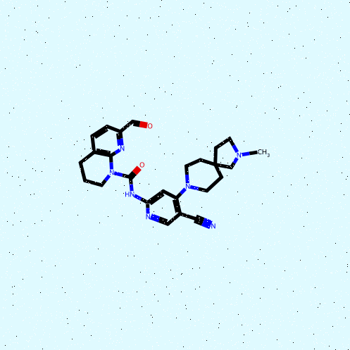 CN1CCC2(CCN(c3cc(NC(=O)N4CCCc5ccc(C=O)nc54)ncc3C#N)CC2)C1